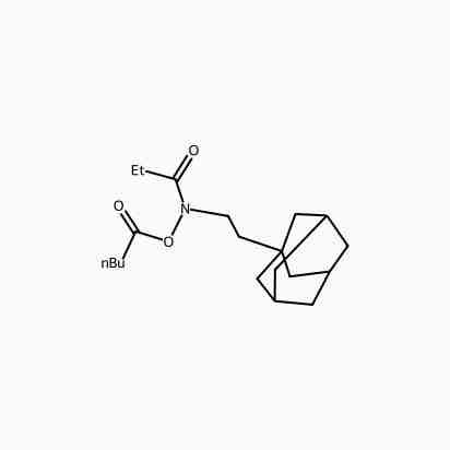 CCCCC(=O)ON(CCC12CC3CC(CC(C3)C1)C2)C(=O)CC